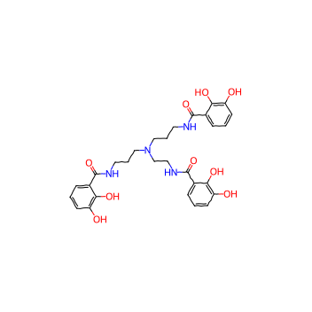 O=C(NCCCN(CCCNC(=O)c1cccc(O)c1O)CCNC(=O)c1cccc(O)c1O)c1cccc(O)c1O